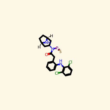 O=C(Cc1ccccc1Nc1c(Cl)cccc1Cl)N(P=S)[C@H]1C[C@H]2CC[C@@H](C1)N2